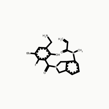 C=CC(=O)N(C)c1cccc2c1CN(C(=O)c1c(O)c(CN)cc(C(C)(C)C)c1F)C2